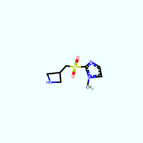 Cn1ccnc1S(=O)(=O)CC1CNC1